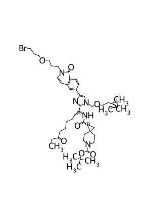 CCC(=O)CCCCC[C@H](NC(=O)[C@H]1CC12CCN(C(=O)OC(C)(C)C)CC2)c1nc(-c2ccc3c(=O)n(CCCOCCCBr)ccc3c2)cn1COCC[Si](C)(C)C